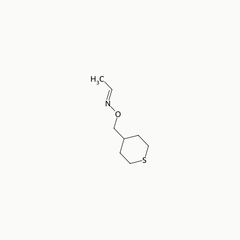 C/C=N/OCC1CCSCC1